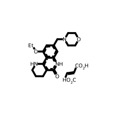 CCOc1cc(CN2CCOCC2)cc2[nH]c(=O)c3c(c12)NCCC3.O=C(O)C=CC(=O)O